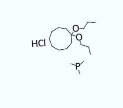 CCCOC1(OCCC)CCCCCCCC1.CP(C)C.Cl